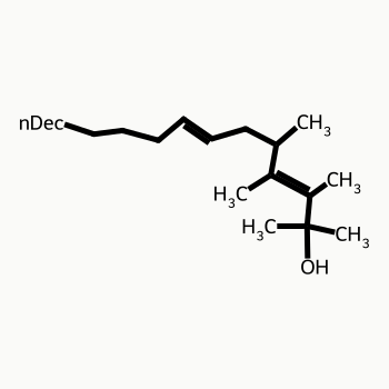 CCCCCCCCCCCCC/C=C/CC(C)/C(C)=C(\C)C(C)(C)O